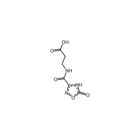 O=C(O)CCNC(=O)c1noc(=O)[nH]1